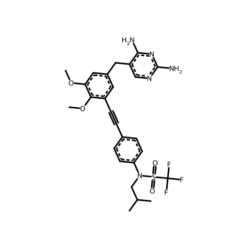 COc1cc(Cc2cnc(N)nc2N)cc(C#Cc2ccc(N(CC(C)C)S(=O)(=O)C(F)(F)F)cc2)c1OC